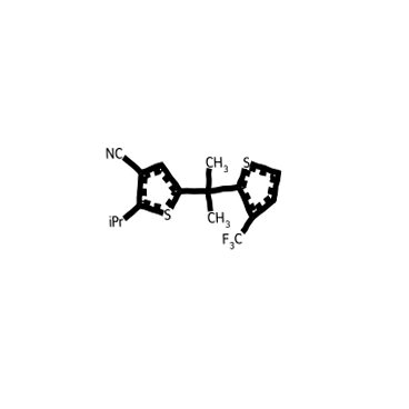 CC(C)c1sc(C(C)(C)c2sccc2C(F)(F)F)cc1C#N